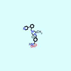 CC1CN(Cc2ccccc2-c2ccncc2)CC(C)N1Cc1ccc(C(=O)NO)cc1